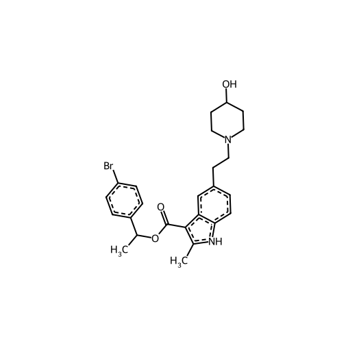 Cc1[nH]c2ccc(CCN3CCC(O)CC3)cc2c1C(=O)OC(C)c1ccc(Br)cc1